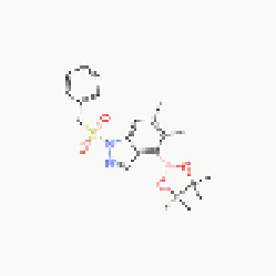 Cc1cc2c(cnn2S(=O)(=O)Cc2ccccc2)c(B2OC(C)(C)C(C)(C)O2)c1C